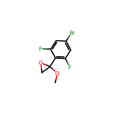 COC1(c2c(F)cc(Br)cc2F)CO1